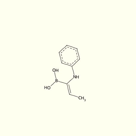 C/C=C(\Nc1ccccc1)B(O)O